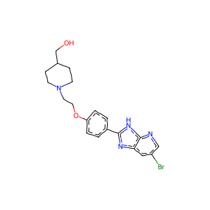 OCC1CCN(CCOc2ccc(-c3nc4cc(Br)cnc4[nH]3)cc2)CC1